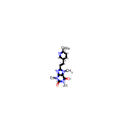 CCn1c(=O)c2c(nc(/C=C/c3ccc(OC)nc3)n2C)n(CC)c1=O